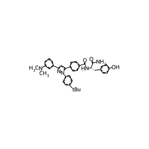 CN(C)c1cccc(-c2cc(-c3ccc(C(=O)N[C@@H](Cc4ccc(O)cc4)C(N)=O)cc3)n(-c3ccc(C(C)(C)C)cc3)n2)c1